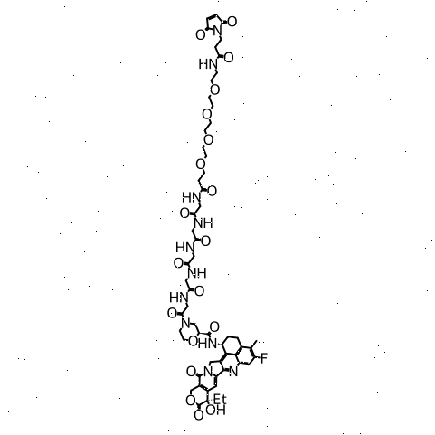 CC[C@]1(O)C(=O)OCc2c1cc1n(c2=O)Cc2c-1nc1cc(F)c(C)c3c1c2[C@H](NC(=O)[C@@H]1CN(C(=O)CNC(=O)CNC(=O)CNC(=O)CNC(=O)CNC(=O)CCOCCOCCOCCOCCNC(=O)CCN2C(=O)C=CC2=O)CCO1)CC3